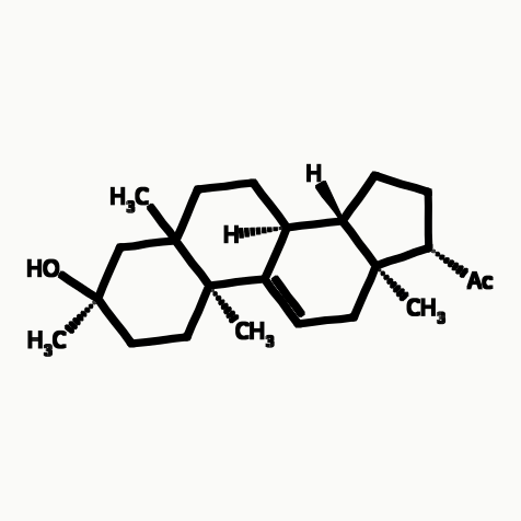 CC(=O)[C@H]1CC[C@H]2[C@@H]3CCC4(C)C[C@](C)(O)CC[C@]4(C)C3=CC[C@]12C